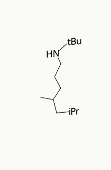 CC(C)CC(C)CCCNC(C)(C)C